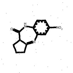 O=C1Nc2ccc([N+](=O)[O-])cc2N=C2CCCC12